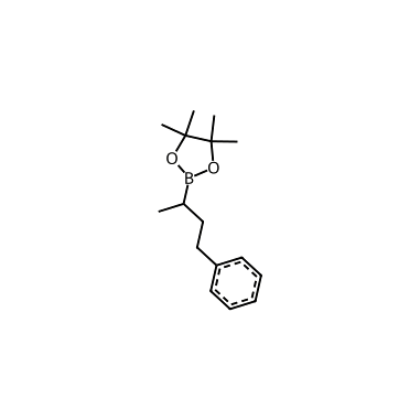 CC(CCc1ccccc1)B1OC(C)(C)C(C)(C)O1